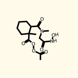 CC(=O)OOC(=O)C1(C)CCCCC1C(=O)N(C)CC(=O)NO